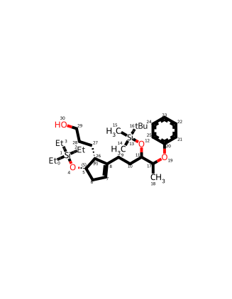 CC[Si](CC)(CC)O[C@H]1CC=C(CCC(O[Si](C)(C)C(C)(C)C)C(C)Oc2ccccc2)[C@H]1CCCO